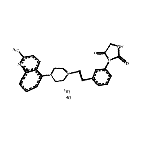 Cc1ccc2c(N3CCN(CCc4cccc(N5C(=O)CNC5=O)c4)CC3)cccc2n1.Cl.Cl